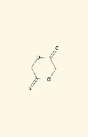 O=C1COC(=S)CO1